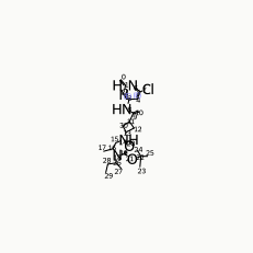 C=C/N=C(\C=C(/N)Cl)NC(=C)C1CC(NCC(C)N(C(=O)OC(C)(C)C)C(C)CC)C1